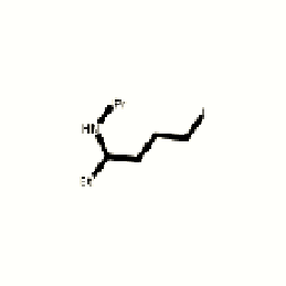 CCC(CCCI)NC(C)C